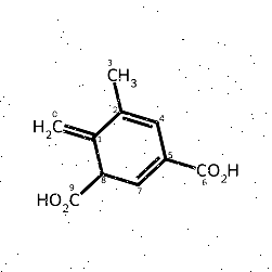 C=C1C(C)=CC(C(=O)O)=CC1C(=O)O